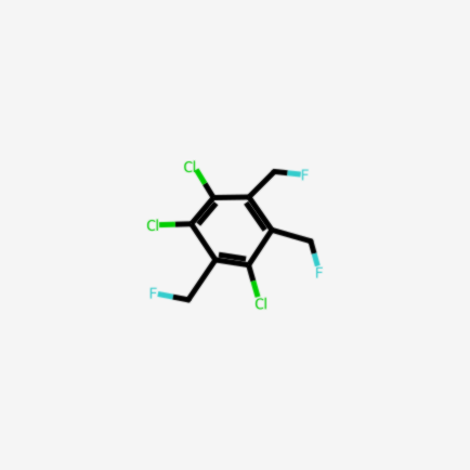 FCc1c(Cl)c(Cl)c(CF)c(CF)c1Cl